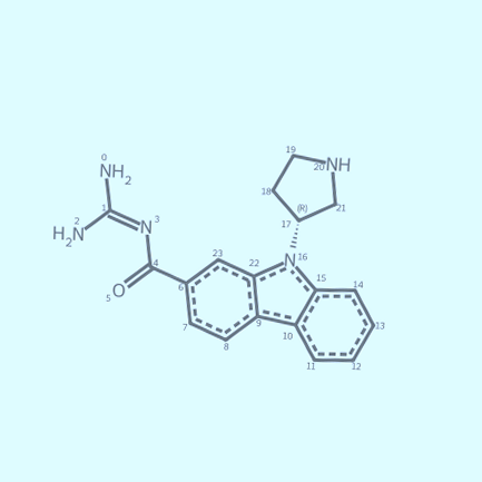 NC(N)=NC(=O)c1ccc2c3ccccc3n([C@@H]3CCNC3)c2c1